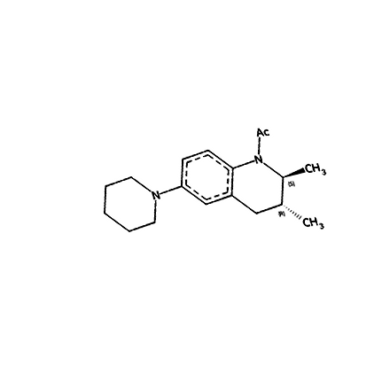 CC(=O)N1c2ccc(N3CCCCC3)cc2C[C@@H](C)[C@@H]1C